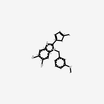 COc1cccc(Cn2c(C3=CC=C(C)C3)nc3cc(Cl)c(Cl)cc32)c1